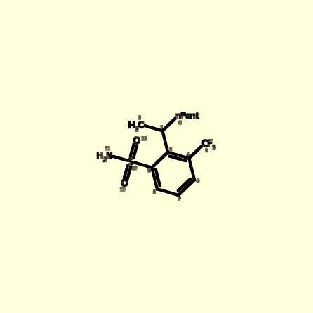 CCCCCC(C)c1c(C(F)(F)F)cccc1S(N)(=O)=O